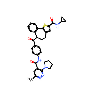 Cc1cc(C(=O)Nc2ccc(C(=O)C3CCc4cc(C(=O)NC5CC5)sc4-c4ccccc43)cc2)c(N2CCCC2)nn1